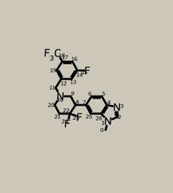 Cn1cnc2ccc(C3CN(Cc4cc(F)cc(C(F)(F)F)c4)CCC3(F)F)cc21